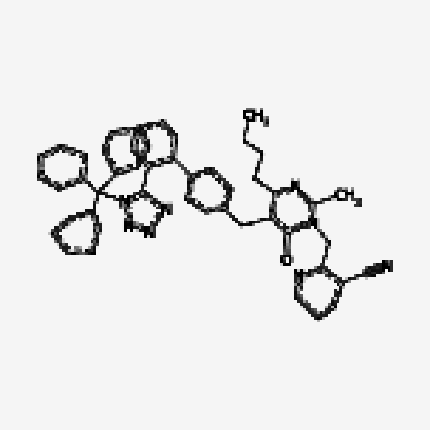 CCCCc1nc(C)n(Cc2ncccc2C#N)c(=O)c1Cc1ccc(-c2ccccc2-c2nnnn2C(c2ccccc2)(c2ccccc2)c2ccccc2)cc1